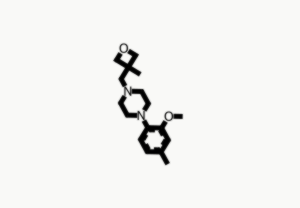 COc1cc(C)ccc1N1CCN(CC2(C)COC2)CC1